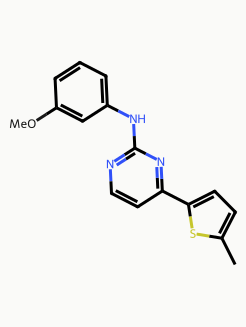 COc1cccc(Nc2nccc(-c3ccc(C)s3)n2)c1